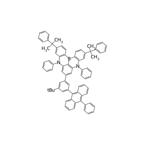 CC(C)(C)c1cc(-c2cc3c4c(c2)N(c2ccccc2)c2cc(C(C)(C)c5ccccc5)ccc2B4c2ccc(C(C)(C)c4ccccc4)cc2N3c2ccccc2)cc(-c2c3ccccc3c(-c3ccccc3)c3ccccc23)c1